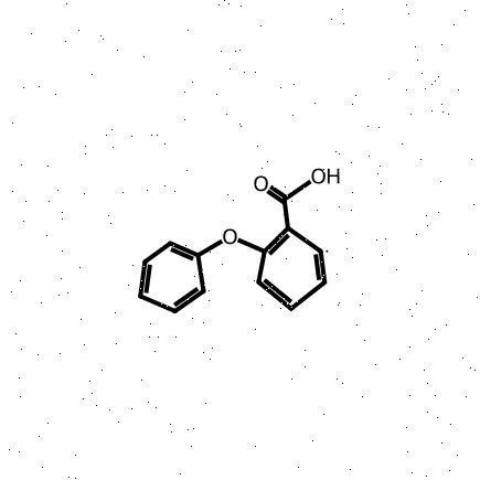 O=C(O)c1[c]cccc1Oc1ccccc1